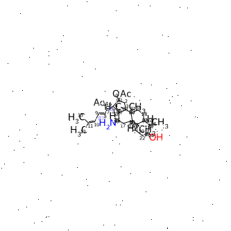 CC(=O)O[C@H]1C[C@@]2(C)[C@H](/C1=C(\C=C\C=C(C)C)C(C)=O)[C@@H](N)C[C@H]1[C@@]3(C)CC[C@@H](O)[C@@H](C)[C@@H]3CC[C@@]12C